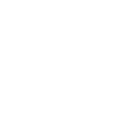 CC(=O)N[C@@H](C)CO[C@H]1CC[C@H](Oc2ccc3nc(CCC(F)(F)F)n(C)c3n2)CC1